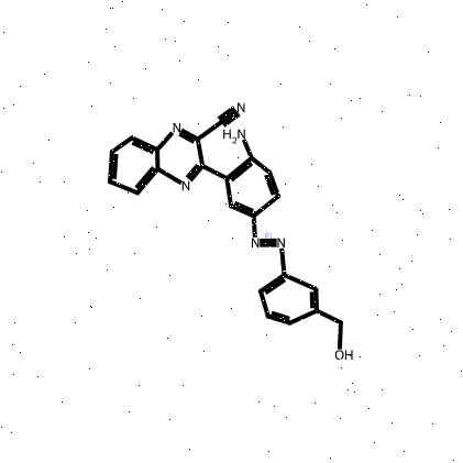 N#Cc1nc2ccccc2nc1-c1cc(/N=N/c2cccc(CO)c2)ccc1N